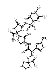 Nc1nc(/C(=N/OC2(C(=O)O)CCCC2)C(=O)N[C@H]2CON(C3(C(=O)O)CC(N4C=C5C=C(O)C(O)=CN5S4(=O)=O)C(=O)O3)C2=O)cs1